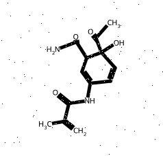 C=C(C)C(=O)NC1=CC(C(N)=O)C(O)(C(C)=O)C=C1